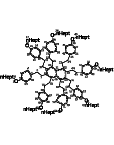 CCCCCCCOc1ccc(CCc2c(CCc3ccc(OCCCCCCC)cc3)c(CCc3ccc(OCCCCCCC)cc3)c3c(CCc4ccc(OCCCCCCC)cc4)c(CCc4ccc(OCCCCCCC)cc4)c(CCc4ccc(OCCCCCCC)cc4)c(CCc4ccc(OCCCCCCC)cc4)c3c2CCc2ccc(OCCCCCCC)cc2)cc1